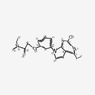 CCc1nc(Cl)nc2c1ccn2-c1cccc(OCC(=O)N(C)C)c1